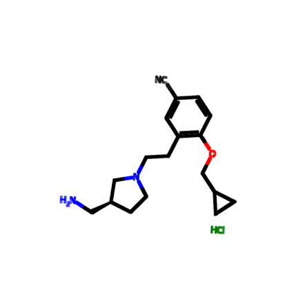 Cl.N#Cc1ccc(OCC2CC2)c(CCN2CC[C@@H](CN)C2)c1